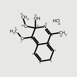 COC1=C2C=CCC=C2C(C)=NC1(O)OC.Cl